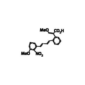 COC=C(C(=O)O)c1ccccc1C=CC=Cc1cccc(OC)c1[N+](=O)[O-]